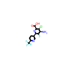 Nc1c(F)c(-c2ccc(C(F)(F)F)nc2)nc(C(=O)O)c1Cl